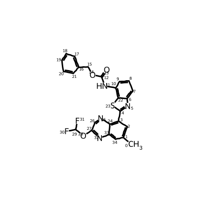 Cc1cc(-c2nc3cccc(NC(=O)OCc4ccccc4)c3s2)c2ncc(OC(F)F)nc2c1